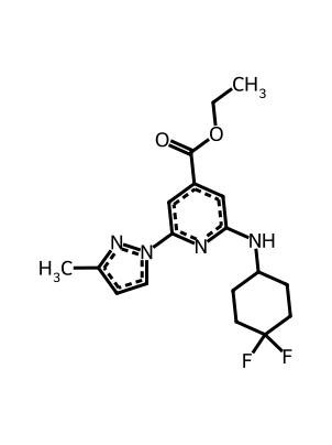 CCOC(=O)c1cc(NC2CCC(F)(F)CC2)nc(-n2ccc(C)n2)c1